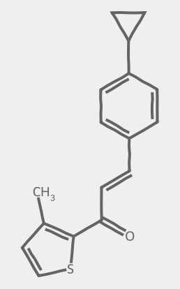 Cc1ccsc1C(=O)C=Cc1ccc(C2CC2)cc1